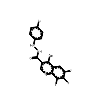 O=C(NNc1ccc(Cl)cc1)c1cnc2c(F)c(F)c(F)cc2c1O